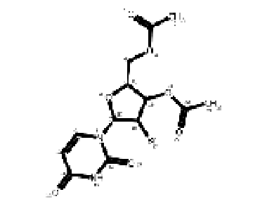 CC(=O)OC[C@@H]1O[C@H](n2ccc(=O)[nH]c2=O)C(Br)C1OC(C)=O